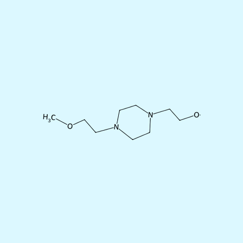 COCCN1CCN(CC[O])CC1